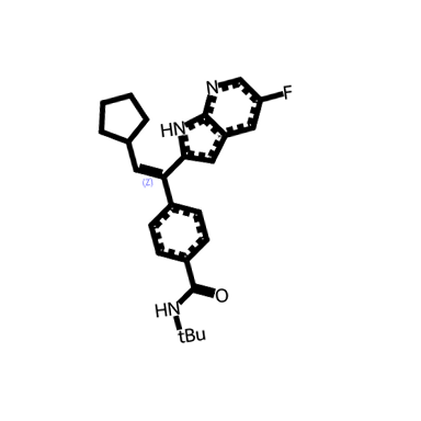 CC(C)(C)NC(=O)c1ccc(/C(=C/C2CCCC2)c2cc3cc(F)cnc3[nH]2)cc1